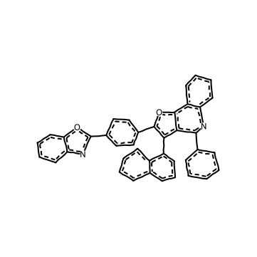 c1ccc(-c2nc3ccccc3c3oc(-c4ccc(-c5nc6ccccc6o5)cc4)c(-c4cccc5ccccc45)c23)cc1